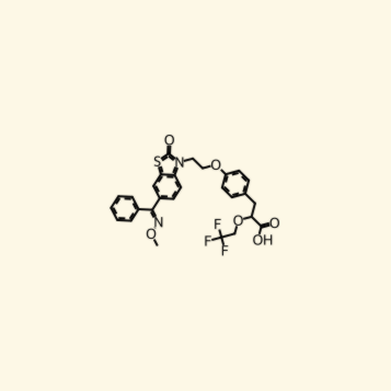 CO/N=C(\c1ccccc1)c1ccc2c(c1)sc(=O)n2CCOc1ccc(CC(OCC(F)(F)F)C(=O)O)cc1